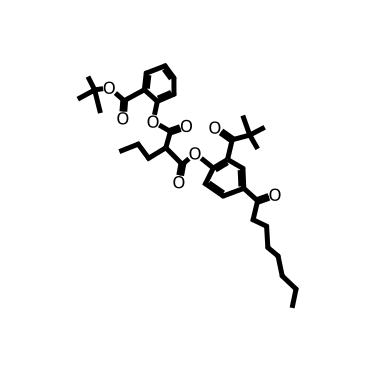 CCCCCCCC(=O)c1ccc(OC(=O)C(CCC)C(=O)Oc2ccccc2C(=O)OC(C)(C)C)c(C(=O)C(C)(C)C)c1